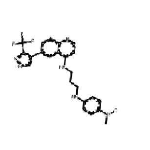 C[S+]([O-])c1ccc(NCCCNc2ccnc3ccc(-c4c[nH]nc4C(F)(F)F)cc23)cc1